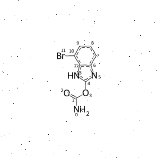 NC(=O)Oc1nc2cccc(Br)c2[nH]1